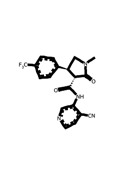 CN1C[C@H](c2ccc(C(F)(F)F)cc2)[C@@H](C(=O)Nc2cnccc2C#N)C1=O